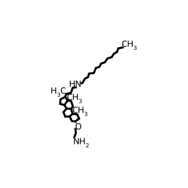 CCCCCCCCCCCCCCCCNCCC[C@@H](C)C1CCC2C3CCC4C[C@H](OCCCN)CC[C@]4(C)C3CC[C@@]21C